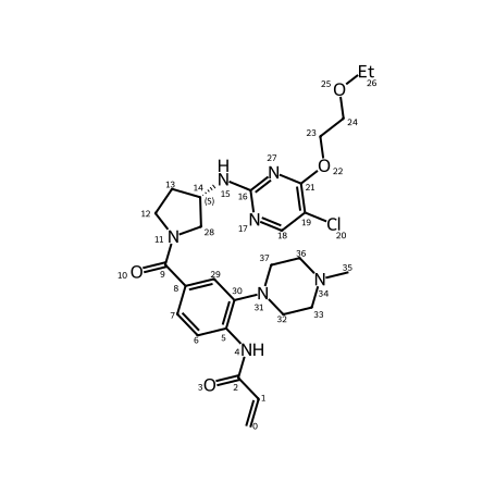 C=CC(=O)Nc1ccc(C(=O)N2CC[C@H](Nc3ncc(Cl)c(OCCOCC)n3)C2)cc1N1CCN(C)CC1